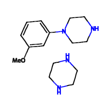 C1CNCCN1.COc1cccc(N2CCNCC2)c1